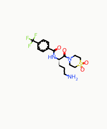 NCCC[C@H](NC(=O)c1ccc(C(F)(F)F)cc1)C(=O)N1CCS(=O)(=O)CC1